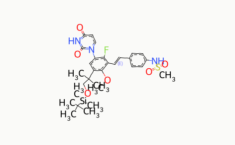 COc1c(C(C)(C)CO[Si](C)(C)C(C)(C)C)cc(-n2ccc(=O)[nH]c2=O)c(F)c1/C=C/c1ccc(NS(C)(=O)=O)cc1